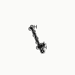 CC(C)(C)OC(=O)N[C@@H](Cc1ccccc1)C(=O)NCCOCCOCCOCCOCCC(=O)O